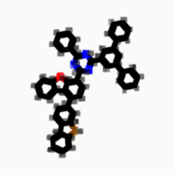 c1ccc(-c2cc(-c3ccccc3)cc(-c3nc(-c4ccccc4)nc(-c4ccc(-c5ccc6c(c5)sc5ccccc56)c5c4oc4ccccc45)n3)c2)cc1